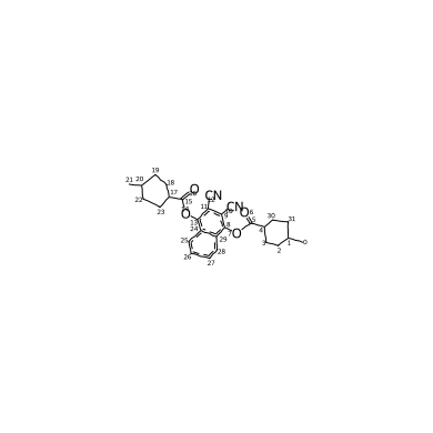 CC1CCC(C(=O)Oc2c(C#N)c(C#N)c(OC(=O)C3CCC(C)CC3)c3ccccc23)CC1